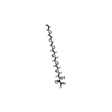 CCCOCCOCCOCCOCCOCCOCCNC(=O)C(C)C